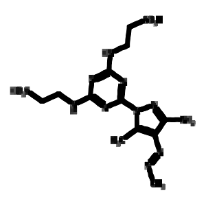 CN=Nc1c(N)nn(-c2nc(NCCS(=O)(=O)O)nc(NCCS(=O)(=O)O)n2)c1C